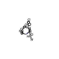 CC[C@@H]1CC/C=C/[C@H](OCC(=O)NCCN(C)C)[C@@H]2CC[C@H]2CN2C[C@@]3(CCCc4cc(Cl)ccc43)COc3ccc(cc32)C(=O)NS1(=O)=O